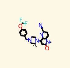 C[C@H]1CN(Cc2ccc(OC(F)F)cc2)CCN1c1cc(=O)n(C)c2ccc(C#N)nc12